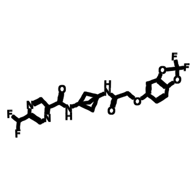 O=C(COc1ccc2c(c1)OC(F)(F)O2)NC12CC(NC(=O)c3cnc(C(F)F)cn3)(C1)C2